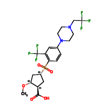 CO[C@@H]1C[C@H](S(=O)(=O)c2ccc(N3CCN(CC(F)(F)F)CC3)cc2C(F)(F)F)C[C@H]1C(=O)O